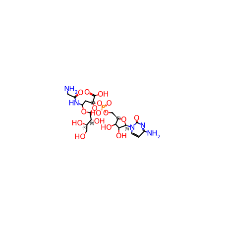 NCC(=O)NC1C[C@@](OP(=O)(O)OC[C@H]2O[C@@H](n3ccc(N)nc3=O)C(O)C2O)(C(=O)O)OC([C@H](O)[C@H](O)CO)O1